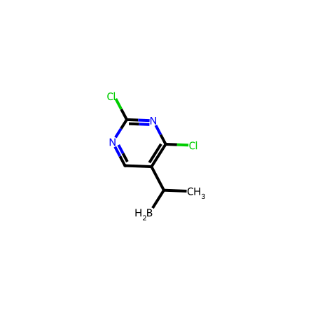 BC(C)c1cnc(Cl)nc1Cl